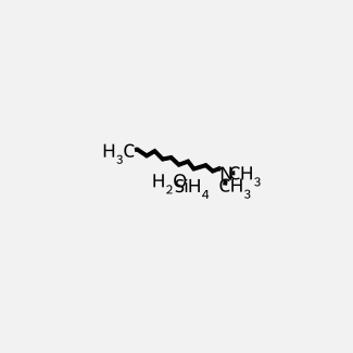 CCCCCCCCCCCCN(C)C.O.[SiH4]